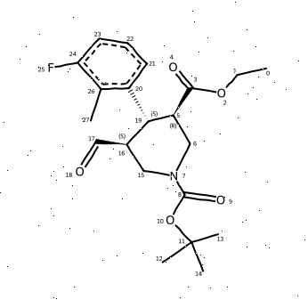 CCOC(=O)[C@H]1CN(C(=O)OC(C)(C)C)C[C@@H](C=O)[C@@H]1c1cccc(F)c1C